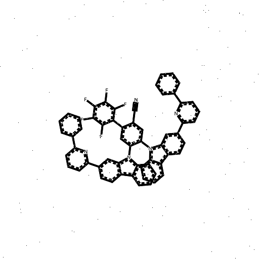 N#Cc1cc(-n2c3ccccc3c3ccc(-c4cccc(-c5ccccc5)n4)cc32)c(-n2c3ccccc3c3ccc(-c4cccc(-c5ccccc5)n4)cc32)cc1-c1c(F)c(F)c(F)c(F)c1F